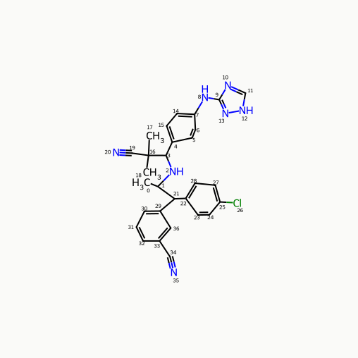 CC(NC(c1ccc(Nc2nc[nH]n2)cc1)C(C)(C)C#N)C(c1ccc(Cl)cc1)c1cccc(C#N)c1